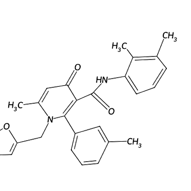 Cc1cccc(-c2c(C(=O)Nc3cccc(C)c3C)c(=O)cc(C)n2Cc2ccco2)c1